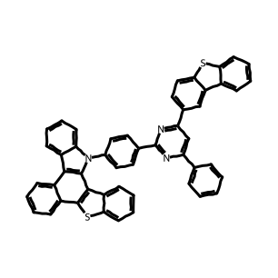 c1ccc(-c2cc(-c3ccc4sc5ccccc5c4c3)nc(-c3ccc(-n4c5ccccc5c5c6ccccc6c6sc7ccccc7c6c54)cc3)n2)cc1